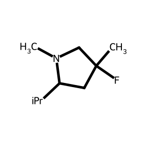 CC(C)C1CC(C)(F)CN1C